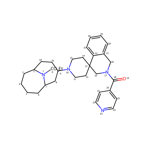 CCOC(=O)N1C2CCCCC1CC(N1CCC3(CC1)CN(C(=O)c1ccncc1)Cc1ccccc13)CC2